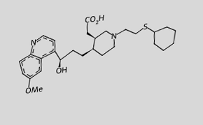 COc1ccc2nccc([C@H](O)CC[C@@H]3CCN(CCSC4CCCCC4)C[C@@H]3CC(=O)O)c2c1